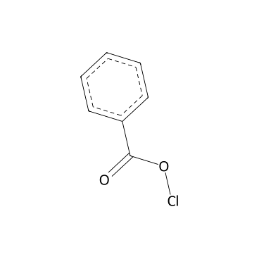 O=C(OCl)c1ccccc1